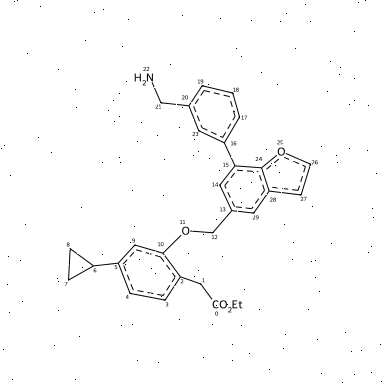 CCOC(=O)Cc1ccc(C2CC2)cc1OCc1cc(-c2cccc(CN)c2)c2occc2c1